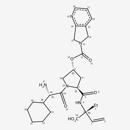 C=C[C@@](CC)(NC(=O)[C@@H]1C[C@@H](OC(=O)N2Cc3cccnc3C2)CN1C(=O)[C@@H](N)C1CCCCC1)C(=O)O